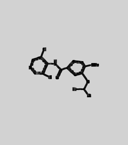 CCC(CC)Oc1cc(C(=O)Nc2c(Cl)cncc2Cl)ccc1SC